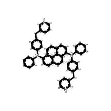 c1ccc(N(c2ccc(Cc3cccnc3)cc2)c2ccc3ccc4c(N(c5ccccc5)c5ccc(Cc6cccnc6)cc5)ccc5ccc2c3c54)cc1